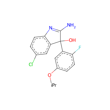 CC(C)Oc1ccc(F)c(C2(O)C(N)=Nc3ccc(Cl)cc32)c1